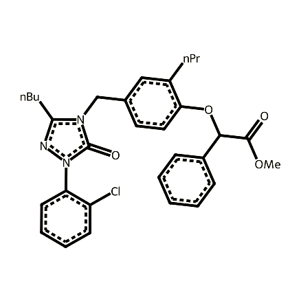 CCCCc1nn(-c2ccccc2Cl)c(=O)n1Cc1ccc(OC(C(=O)OC)c2ccccc2)c(CCC)c1